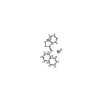 C(=C1CC[n+]2ccccc21)c1cccc2ccccc12.[Br-]